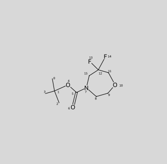 CC(C)(C)OC(=O)N1CCOCC(F)(F)C1